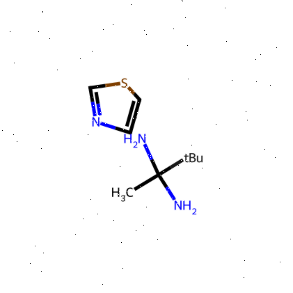 CC(C)(C)C(C)(N)N.c1cscn1